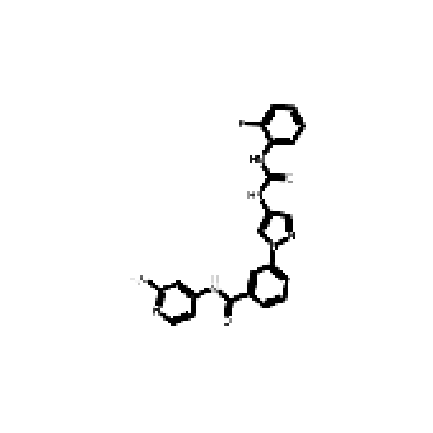 Cc1cc(NC(=O)c2cccc(-n3cc(NC(=O)Nc4ccccc4F)cn3)c2)ccn1